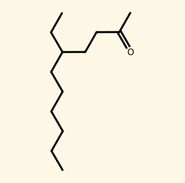 CCCCCCC(CC)CCC(C)=O